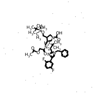 CC(=O)OCC(=O)N(CC1CN(C(=O)O)CC1CO[Si](C)(C)C(C)(C)C)[C@@H](c1nc(-c2cc(F)ccc2F)cn1Cc1ccccc1)C(C)(C)C